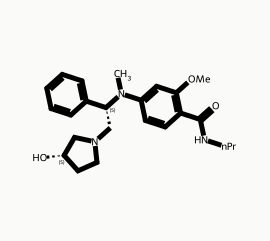 CCCNC(=O)c1ccc(N(C)[C@H](CN2CC[C@H](O)C2)c2ccccc2)cc1OC